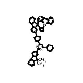 CC1(C)c2ccccc2-c2ccc(-c3nc(-c4ccccc4)cc(-c4ccc(-c5ccc6c(c5)C5(c7ccccc7-6)c6ccccc6-n6c7ccccc7c7cccc5c76)cc4)n3)cc21